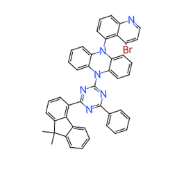 CC1(C)c2ccccc2-c2c(-c3nc(-c4ccccc4)nc(N4c5ccccc5N(c5cccc6nccc(Br)c56)c5ccccc54)n3)cccc21